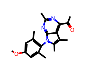 COc1cc(C)c(-n2c(C)c(C)c3c(C(C)=O)nc(C)nc32)c(C)c1